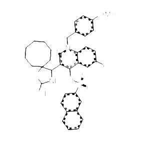 COc1ccc(Cn2c(=O)c(C3NC(C)OC34CCCCCCC4)c(OS(=O)(=O)c3ccc4ccccc4c3)c3cc(Cl)ccc32)cc1